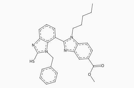 CCCCCn1c(-c2cccc3nc(S)n(Cc4ccccc4)c23)nc2cc(C(=O)OC)ccc21